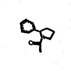 CC(=O)N1CCCC1c1ccccc1